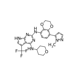 Cn1nccc1-c1ccc(Nc2nc(NC3CCOCC3)c3c(C(F)(F)F)c[nH]c3n2)c2c1OCCO2